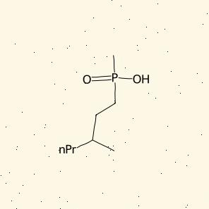 CCCC(C)CCP(C)(=O)O